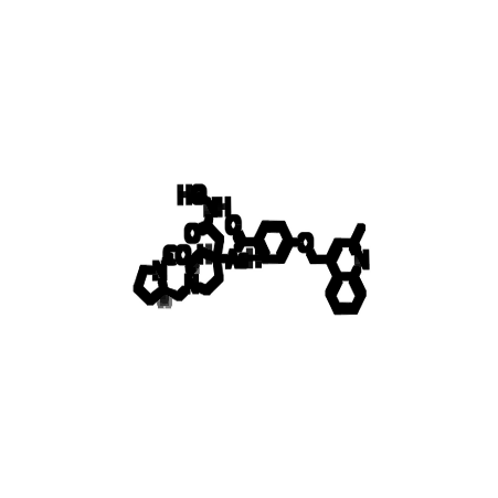 Cc1cc(COc2ccc(C(=O)[AsH]C3(CC(=O)NO)CCN(C[C@H]4CCCN4C(=O)O)CC3)cc2)c2ccccc2n1